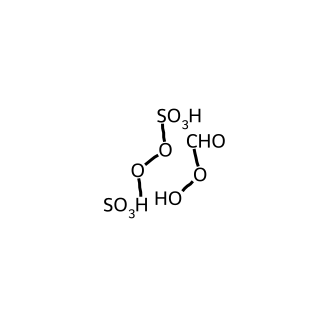 O=COO.O=S(=O)(O)OOS(=O)(=O)O